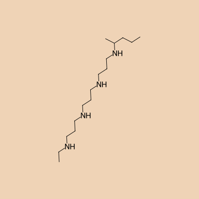 CCCC(C)NCCCNCCCNCCCNCC